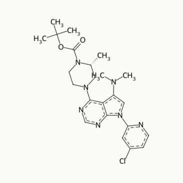 C[C@@H]1CN(c2ncnc3c2c(N(C)C)cn3-c2cc(Cl)ccn2)CCN1C(=O)OC(C)(C)C